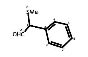 CSC(C=O)c1ccccc1